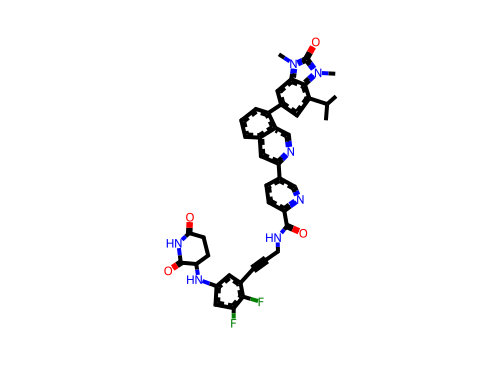 CC(C)c1cc(-c2cccc3cc(-c4ccc(C(=O)NCC#Cc5cc(NC6CCC(=O)NC6=O)cc(F)c5F)nc4)ncc23)cc2c1n(C)c(=O)n2C